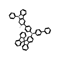 C[C@@H]1Cc2c(c3ccccc3n2-c2ccccc2)C=C1c1ccc(N(c2ccc(-c3ccccc3)cc2)c2ccc3c(c2)C2(c4ccccc4-3)c3ccccc3C3C=CC=CC32)cc1